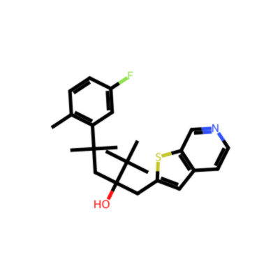 Cc1ccc(F)cc1C(C)(C)CC(O)(Cc1cc2ccncc2s1)C(C)(C)C